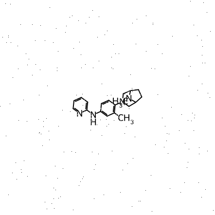 Cc1cc(Nc2ccccn2)ccc1N1CC2CCC(C1)N2C